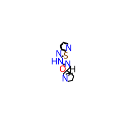 c1cnc2sc(NC3=NCC4(CN5CCC[C@@H]4C5)O3)nc2c1